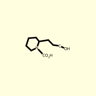 O=C(O)N1CCCCC1CCCO